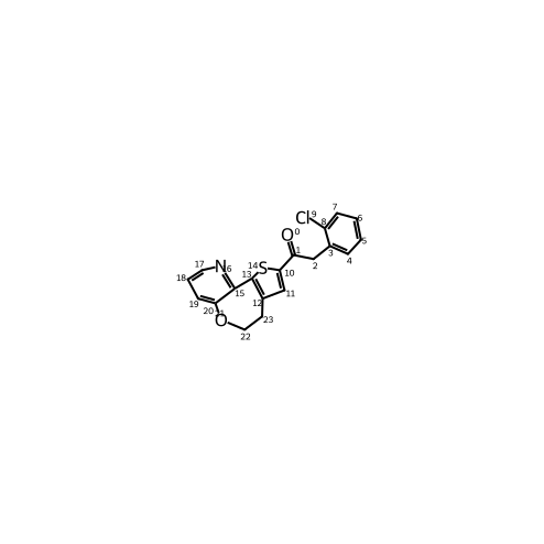 O=C(Cc1ccccc1Cl)c1cc2c(s1)-c1ncccc1OCC2